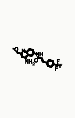 COCc1cc(N)c2cc(NC(=O)C=Cc3ccc(C(F)(F)F)cc3)ccc2n1